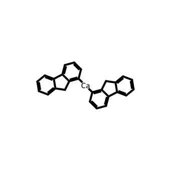 c1ccc2c(c1)Cc1[c]([Ca][c]3cccc4c3Cc3ccccc3-4)cccc1-2